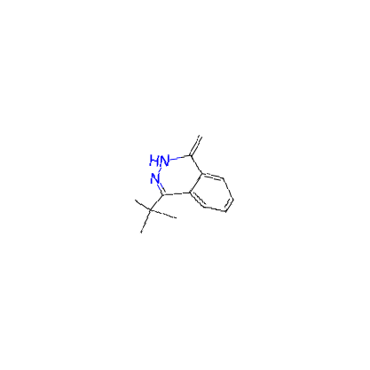 C=C1NN=C(C(C)(C)C)c2ccccc21